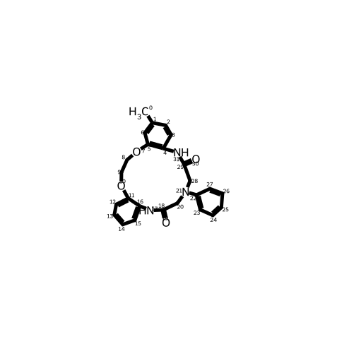 Cc1ccc2c(c1)OCCOc1ccccc1NC(=O)CN(c1ccccc1)CC(=O)N2